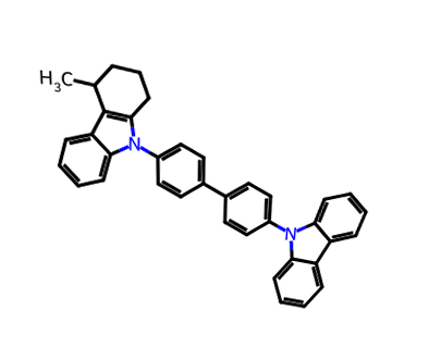 CC1CCCc2c1c1ccccc1n2-c1ccc(-c2ccc(-n3c4ccccc4c4ccccc43)cc2)cc1